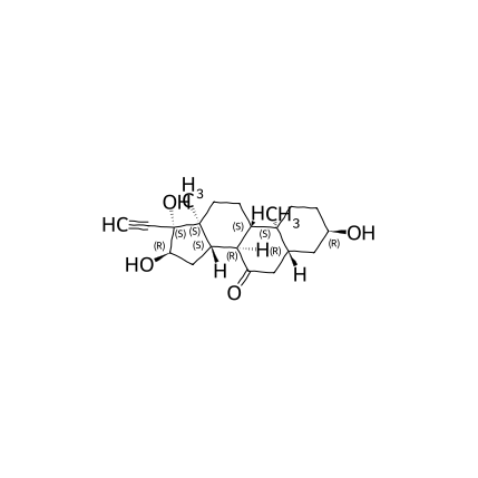 C#C[C@]1(O)[C@H](O)C[C@H]2[C@@H]3C(=O)C[C@H]4C[C@H](O)CC[C@]4(C)[C@H]3CC[C@@]21C